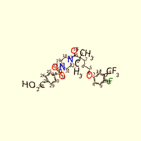 CC(C)(CCCOc1ccc(F)c(C(F)(F)F)c1)C(=O)N1CCN(S(=O)(=O)c2ccc(C(=O)O)cc2)CC1